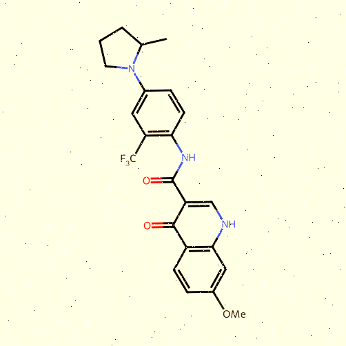 COc1ccc2c(=O)c(C(=O)Nc3ccc(N4CCCC4C)cc3C(F)(F)F)c[nH]c2c1